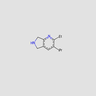 CCc1nc2c(cc1C(C)C)CNC2